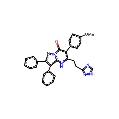 COc1ccc(-c2c(CCc3nc[nH]n3)[nH]c3c(-c4ccccc4)c(-c4ccccc4)nn3c2=O)cc1